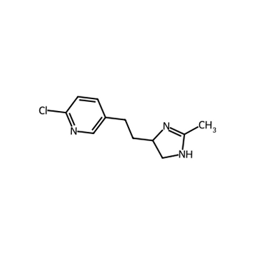 CC1=NC(CCc2ccc(Cl)nc2)CN1